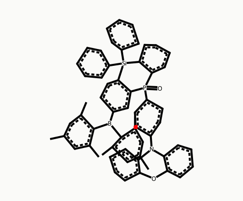 Cc1cc(C)c(B(c2ccc3c(c2)P(=O)(c2ccc(N4c5ccccc5Oc5ccccc54)cc2)c2ccccc2[Si]3(c2ccccc2)c2ccccc2)c2c(C)cc(C)cc2C)c(C)c1